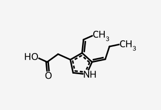 C/C=c1/c(CC(=O)O)c[nH]/c1=C/CC